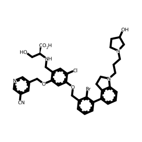 N#Cc1cncc(COc2cc(OCc3cccc(-c4cccc5c4CCN5CCCN4CCC(O)C4)c3Br)c(Cl)cc2CN[C@@H](CO)C(=O)O)c1